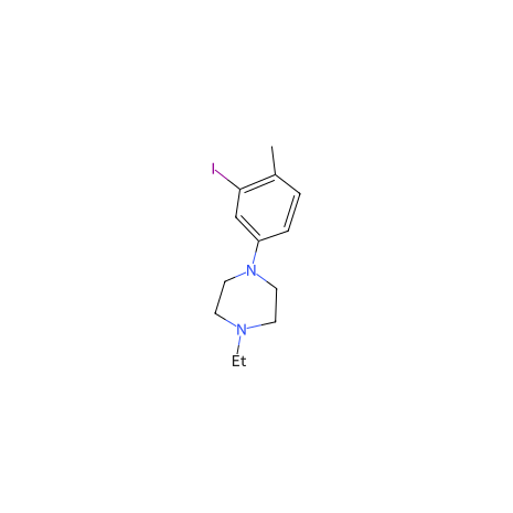 CCN1CCN(c2ccc(C)c(I)c2)CC1